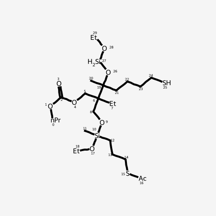 CCCOC(=O)OCC(CC)(CO[Si](C)(CCCSC(C)=O)OCC)C(C)(CCCCS)O[SiH2]OCC